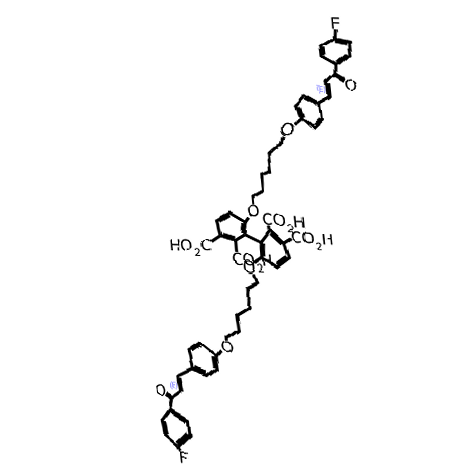 O=C(/C=C/c1ccc(OCCCCCCOc2ccc(C(=O)O)c(C(=O)O)c2-c2c(OCCCCCCOc3ccc(/C=C/C(=O)c4ccc(F)cc4)cc3)ccc(C(=O)O)c2C(=O)O)cc1)c1ccc(F)cc1